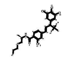 C[C@H](CSCCF)NC(=O)c1ccc(/C=C/C(c2cc(Cl)c(Cl)c(Cl)c2)C(C)(F)F)cc1C(F)(F)F